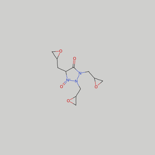 O=C1C(CC2CO2)[N+](=O)N(CC2CO2)N1CC1CO1